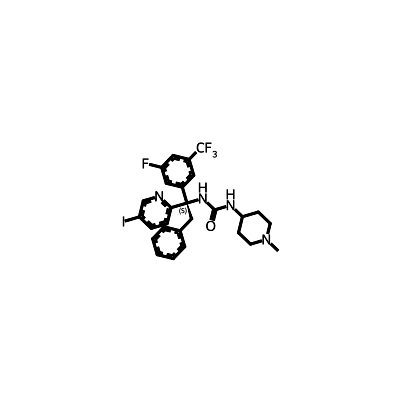 CN1CCC(NC(=O)N[C@@](Cc2ccccc2)(c2cc(F)cc(C(F)(F)F)c2)c2ccc(I)cn2)CC1